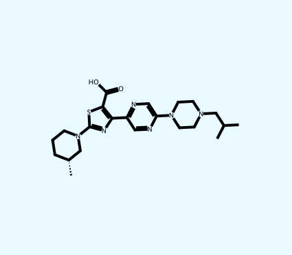 CC(C)CN1CCN(c2cnc(-c3nc(N4CCC[C@@H](C)C4)sc3C(=O)O)cn2)CC1